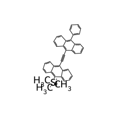 C[Si](C)(C)c1c2ccccc2c(C#Cc2c3ccccc3c(-c3ccccc3)c3ccccc23)c2ccccc12